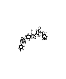 Cc1ccc(-c2noc(-c3ccc(NC(=O)C4CC(=O)N(Cc5ccncc5)C4)cc3)n2)cc1